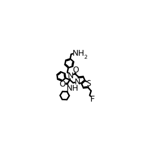 NCc1ccc(CN2C(=O)c3cc4sc(CCF)cc4n3CC2(C(=O)NC2CCCCC2)c2ccccc2)cc1